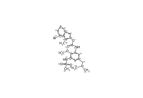 COc1c(NC(=O)Oc2cc3cccc(Br)c3n2C)cc(CC(C)C)cc1NS(C)(=O)=O